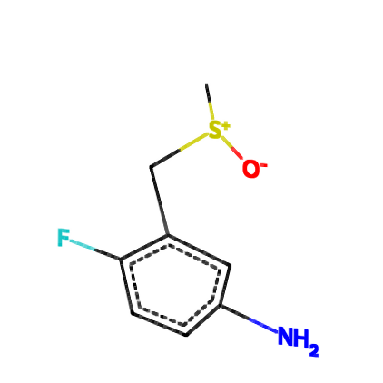 C[S+]([O-])Cc1cc(N)ccc1F